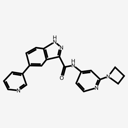 O=C(Nc1ccnc(N2CCC2)c1)c1n[nH]c2ccc(-c3cccnc3)cc12